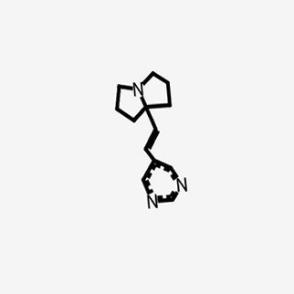 C(=CC12CCCN1CCC2)c1cncnc1